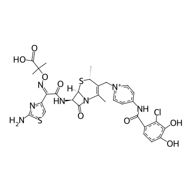 CC1=C(C[n+]2ccc(NC(=O)c3ccc(O)c(O)c3Cl)cc2)[C@@H](C)S[C@@H]2[C@H](NC(=O)/C(=N\OC(C)(C)C(=O)O)c3csc(N)n3)C(=O)N12